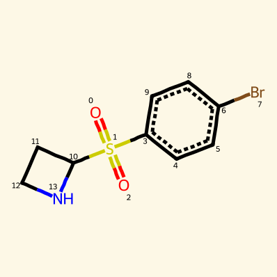 O=S(=O)(c1ccc(Br)cc1)C1CCN1